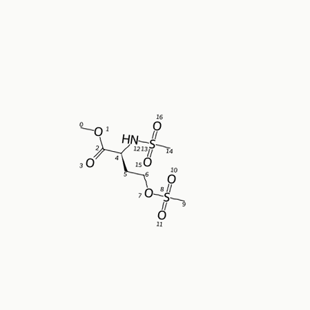 COC(=O)[C@H](CCOS(C)(=O)=O)NS(C)(=O)=O